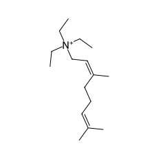 CC[N+](CC)(CC)CC=C(C)CCC=C(C)C